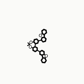 CC1(C)Oc2ccc(-c3ccc4oc5ccccc5c4c3)cc2-c2cc(-c3cccc4c3oc3ccccc34)ccc2O1